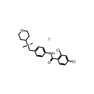 C[N+](C)(Cc1ccc(NC(=O)c2ccc(Cl)cc2Cl)cc1)C1CCOCC1.[I-]